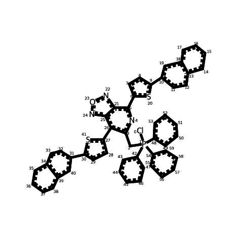 ClP(Cc1nc(-c2ccc(-c3ccc4ccccc4c3)s2)c2nonc2c1-c1ccc(-c2ccc3ccccc3c2)s1)(c1ccccc1)(c1ccccc1)c1ccccc1